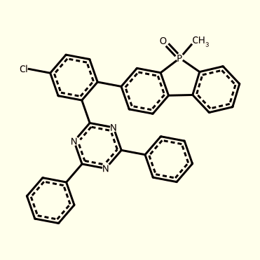 CP1(=O)c2ccccc2-c2ccc(-c3ccc(Cl)cc3-c3nc(-c4ccccc4)nc(-c4ccccc4)n3)cc21